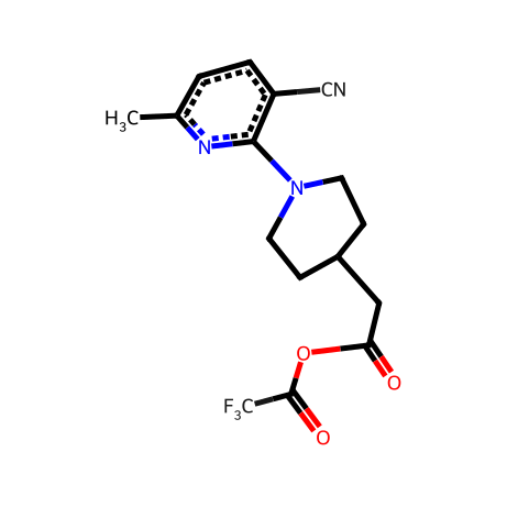 Cc1ccc(C#N)c(N2CCC(CC(=O)OC(=O)C(F)(F)F)CC2)n1